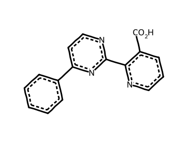 O=C(O)c1cccnc1-c1nccc(-c2ccccc2)n1